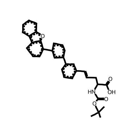 CC(C)(C)OC(=O)NC(C/C=C/c1cccc(-c2cccc(-c3cccc4c3oc3ccccc34)c2)c1)C(=O)O